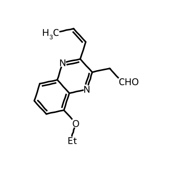 C/C=C\c1nc2cccc(OCC)c2nc1CC=O